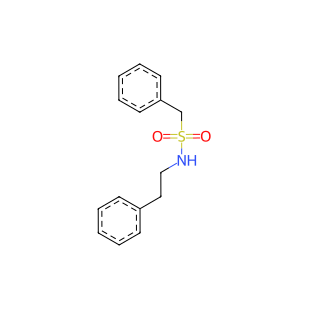 O=S(=O)(Cc1ccccc1)NCCc1ccccc1